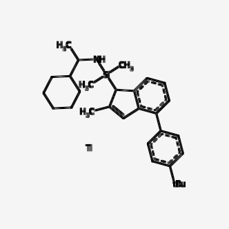 CC1=Cc2c(-c3ccc(C(C)(C)C)cc3)cccc2C1[Si](C)(C)NC(C)C1CCCCC1.[Ti]